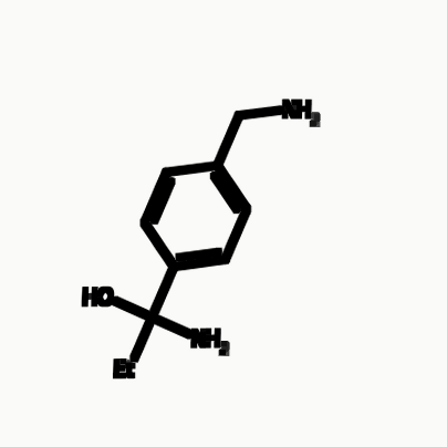 CCC(N)(O)c1ccc(CN)cc1